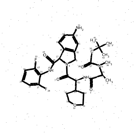 C[C@@H](C(=O)N[C@H](C(=O)N1Cc2cc(N)ccc2C1C(=O)Nc1c(F)cccc1F)C1CCOCC1)N(C)C(=O)OC(C)(C)C